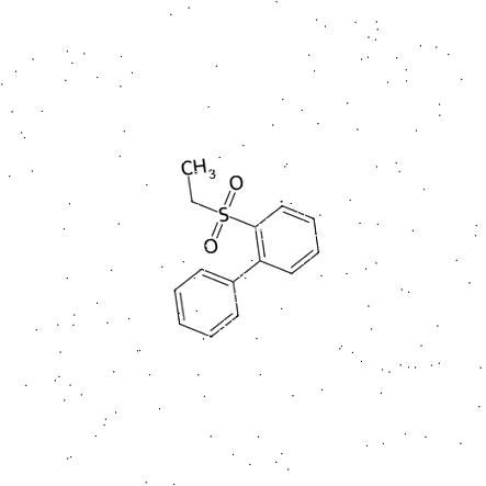 CCS(=O)(=O)c1[c]cccc1-c1ccccc1